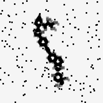 C=C[C@]1(C)CCN[C@H](c2nc3c(ccc4cc(C#Cc5ccc(-c6cnc(C7CC8CC8N7C(=O)[C@@H](N)C(C)C)[nH]6)cc5)ccc43)[nH]2)C1